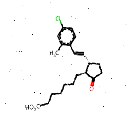 Cc1cc(Cl)ccc1C=C[C@@H]1CCC(=O)[C@H]1CCCCCCC(=O)O